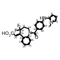 Cn1cccc1Nc1ccc(C(=O)N2CCC(F)(F)C(=CC(=O)O)c3ccccc32)cc1